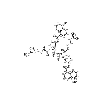 CN(C)CCCNC(=O)C1C2CC(OC(=O)c3cccc4c(Br)cccc34)C(C2)C1C(=O)NC(=O)C1C2CC(CC2OC(=O)c2cccc3c(Br)cccc23)C1C(=O)NCCCN(C)C